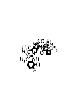 CCOC(=O)n1nc2c(c1NC(=O)C1([Si](C)(C)C)CCC1)CN(C(=O)Nc1c(C)ccc(F)c1Cl)C2(C)C